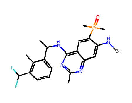 Cc1nc(NC(C)c2cccc(C(F)F)c2C)c2cc(P(C)(C)=O)c(NC(C)C)cc2n1